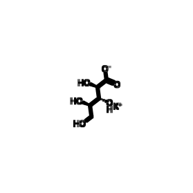 O=C([O-])[C@H](O)[C@H](O)[C@H](O)CO.[K+]